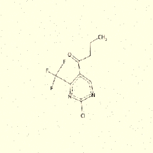 CCCC(=O)c1cnc(Cl)nc1C(F)(F)F